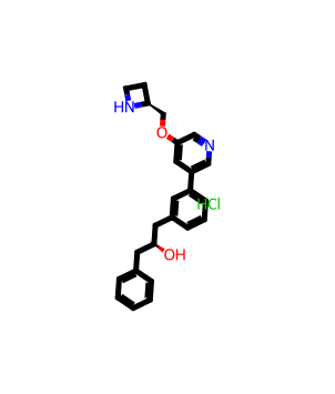 Cl.O[C@@H](Cc1ccccc1)Cc1cccc(-c2cncc(OC[C@@H]3CCN3)c2)c1